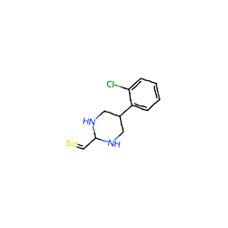 S=CC1NCC(c2ccccc2Cl)CN1